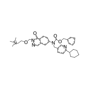 C[Si](C)(C)CCOCn1ncc2cc(N(Cc3ccc(C4CCCCC4)nc3)C(=O)OCc3ccccc3)ccc2c1=O